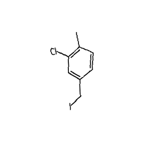 Cc1ccc(CI)cc1Cl